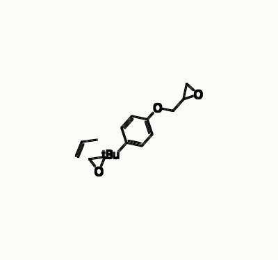 C1CO1.C=CC.CC(C)(C)c1ccc(OCC2CO2)cc1